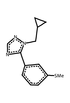 CSc1cccc(-c2ncnn2CC2CC2)c1